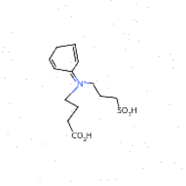 O=C(O)CCC[N+](CCCS(=O)(=O)O)=C1C=CCC=C1